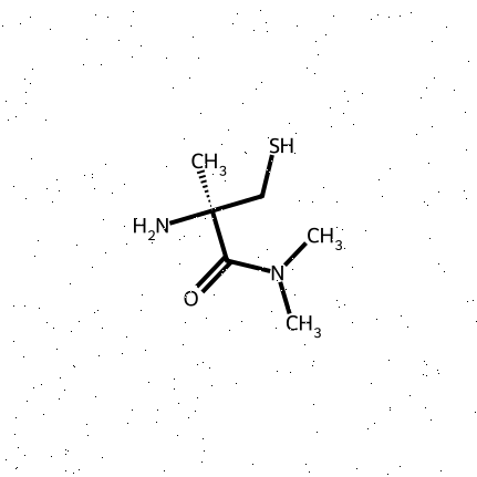 CN(C)C(=O)[C@@](C)(N)CS